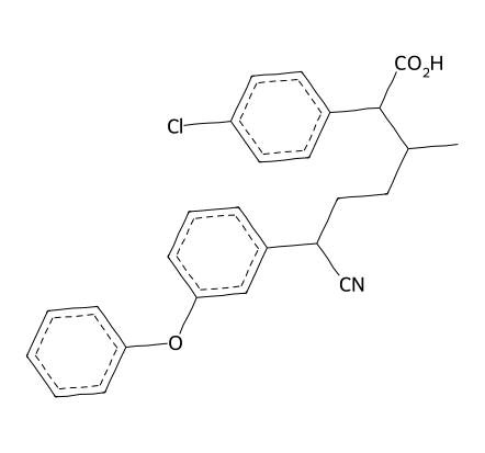 CC(CCC(C#N)c1cccc(Oc2ccccc2)c1)C(C(=O)O)c1ccc(Cl)cc1